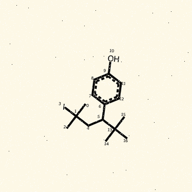 CC(C)(I)CC(c1ccc(O)cc1)C(C)(C)C